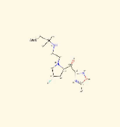 COCC(C)(C)NCCN1C[C@@H](F)CC1C(=O)c1noc(C)n1